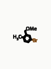 COCc1cc(Br)ccc1C